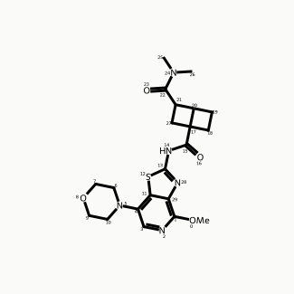 COc1ncc(N2CCOCC2)c2sc(NC(=O)C34CCC3C(C(=O)N(C)C)C4)nc12